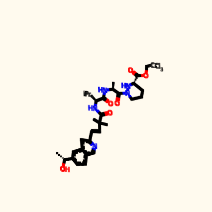 CC(C)[C@H](NC(=O)C(C)(C)/C=C/c1cc2cc([C@@H](C)O)ccc2cn1)C(=O)N[C@@H](C)C(=O)N1CCC[C@@H](C(=O)OCC(Cl)(Cl)Cl)N1